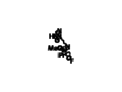 COCC(=O)O[C@]1(CCN(C)CCCCCCn2c(=O)[nH]c3ccncc32)CCc2cc(F)ccc2[C@@H]1C(C)C